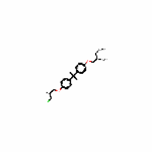 COC[C@H](COc1ccc(C(C)(C)c2ccc(OC[C@@H](C)CCl)cc2)cc1)OC(C)=O